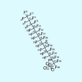 FC(F)(F)C(F)(F)C(F)(F)C(F)(F)C(F)(F)C(F)(F)C(F)(F)C(F)(F)C(F)(F)C(F)(F)C(F)(F)C(F)(F)C(F)(F)[Si](Cl)(Cl)Cl